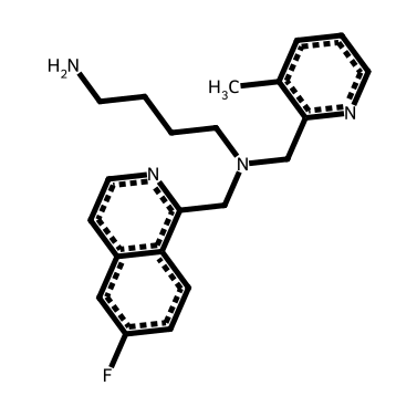 Cc1cccnc1CN(CCCCN)Cc1nccc2cc(F)ccc12